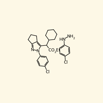 CCOC(=O)C(c1c2c(nn1-c1ccc(Cl)cc1)CCC2)C1CCCCC1.NNc1ccc(Cl)cc1